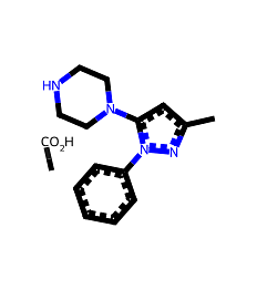 CC(=O)O.Cc1cc(N2CCNCC2)n(-c2ccccc2)n1